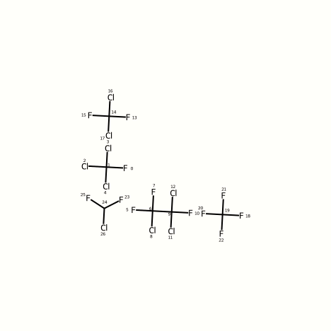 FC(Cl)(Cl)Cl.FC(F)(Cl)C(F)(Cl)Cl.FC(F)(Cl)Cl.FC(F)(F)F.FC(F)Cl